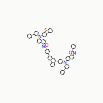 c1ccc(-c2cccc(N(c3ccc(-c4cc5cc(-c6ccc(-c7nc8c(ccc9c(N(c%10cccc(-c%11ccccc%11)c%10)c%10ccc%11c(c%10)sc%10ccccc%10%11)cccc98)o7)cc6)ccc5c5ccccc45)cc3)c3ccc4c(ccc5nc(-c6ccccc6)oc54)c3)c2)cc1